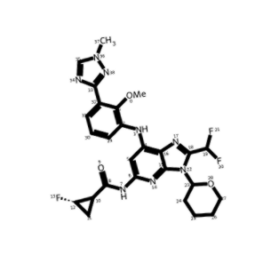 COc1c(Nc2cc(NC(=O)C3C[C@@H]3F)nc3c2nc(C(F)F)n3C2CCCCO2)cccc1-c1ncn(C)n1